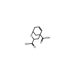 O=C(O)C1CC2(C(=O)O)C=CCC(C2)O1